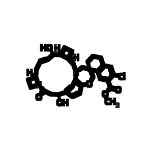 COC(=O)c1cc2c(cc1Cl)CCC[C@]21COc2ccc3cc2N(C[C@@H]2CC[C@H]2[C@@H](O)/C=C/C[C@H]2CCN2C(=O)C[C@H]3O)C1